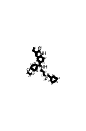 CCc1cc2cc(C(NCCCN(C)Cc3ccccc3)c3ccc4c(c3)OCCO4)ccc2[nH]c1=O